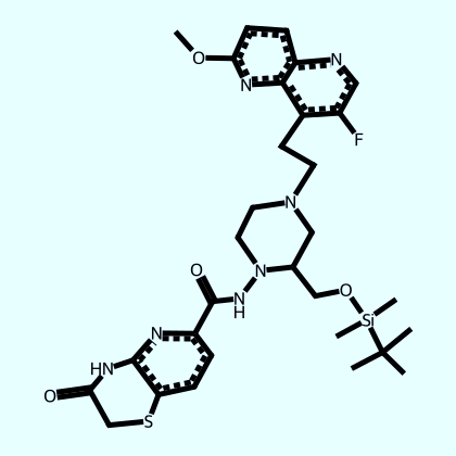 COc1ccc2ncc(F)c(CCN3CCN(NC(=O)c4ccc5c(n4)NC(=O)CS5)C(CO[Si](C)(C)C(C)(C)C)C3)c2n1